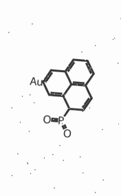 O=P(=O)C1C=Cc2cccc3cccc1c23.[Au]